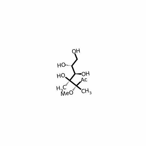 CO[C@@](C)(C(C)=O)[C@@](C)(O)[C@H](O)[C@H](O)CO